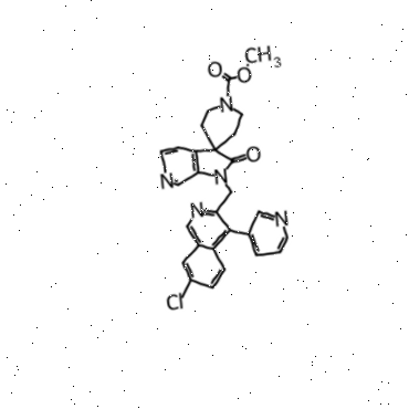 COC(=O)N1CCC2(CC1)C(=O)N(Cc1ncc3cc(Cl)ccc3c1-c1cccnc1)c1cnccc12